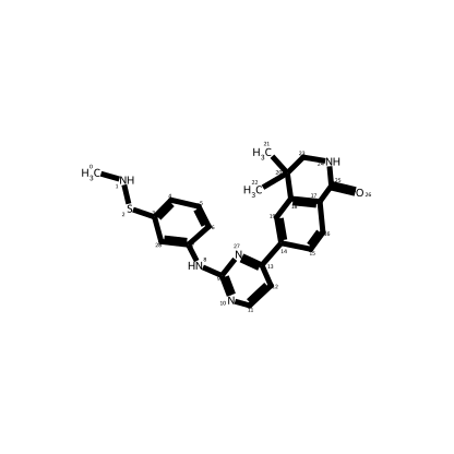 CNSc1cccc(Nc2nccc(-c3ccc4c(c3)C(C)(C)CNC4=O)n2)c1